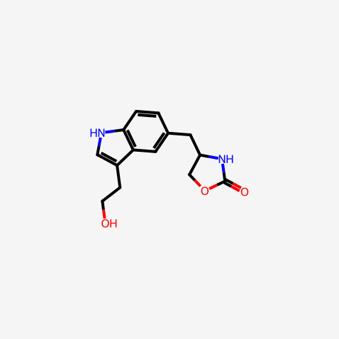 O=C1NC(Cc2ccc3[nH]cc(CCO)c3c2)CO1